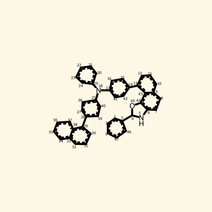 c1ccc(C2Nc3ccc4cccc(-c5ccc(N(c6ccccc6)c6ccc(-c7cccc8ccccc78)cc6)cc5)c4c3O2)cc1